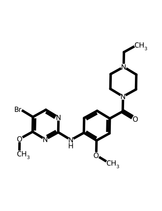 CCN1CCN(C(=O)c2ccc(Nc3ncc(Br)c(OC)n3)c(OC)c2)CC1